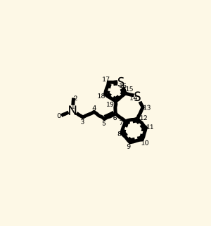 CN(C)CC/C=C1/c2ccccc2CSc2sccc21